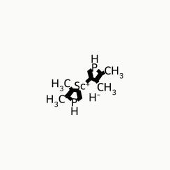 Cc1[pH]c[c]([Sc+][c]2c[pH]c(C)c2C)c1C.[H-]